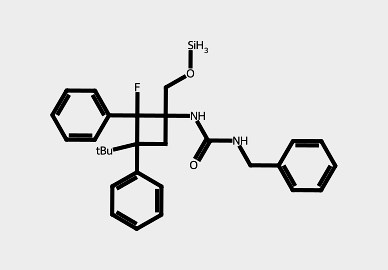 CC(C)(C)C1(c2ccccc2)CC(CO[SiH3])(NC(=O)NCc2ccccc2)C1(F)c1ccccc1